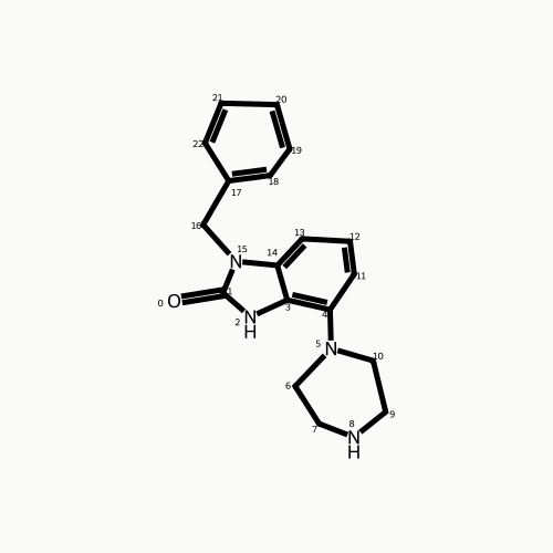 O=c1[nH]c2c(N3CCNCC3)cccc2n1Cc1ccccc1